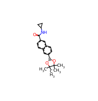 CC1(C)OB(c2ccc3cc(C(=O)NC4CC4)ccc3c2)OC1(C)C